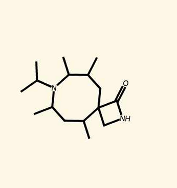 CC1CC2(CNC2=O)C(C)CC(C)N(C(C)C)C1C